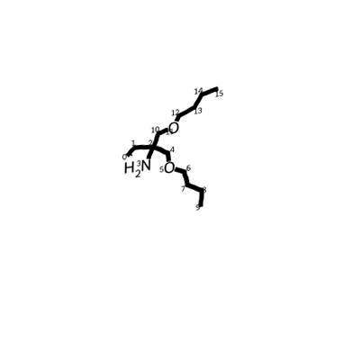 [CH2]CC(N)(COCCCC)COCCCC